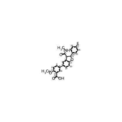 CNC(=O)C1c2cc(-c3ccc(OC)c(C(=O)O)c3)ccc2OC1c1ccc(F)cc1